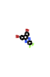 Fc1cc2nc3c4ccc(Br)cc4c4cc(Br)ccc4c3nc2cc1F